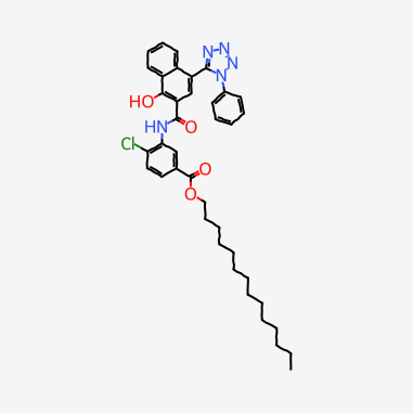 CCCCCCCCCCCCCCOC(=O)c1ccc(Cl)c(NC(=O)c2cc(-c3nnnn3-c3ccccc3)c3ccccc3c2O)c1